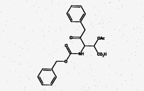 CC(=O)OC(C(=O)O)C(NC(=O)OCc1ccccc1)C(=O)Cc1ccccc1